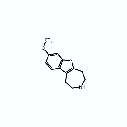 FC(F)(F)Oc1ccc2c3c(sc2c1)CCNCC3